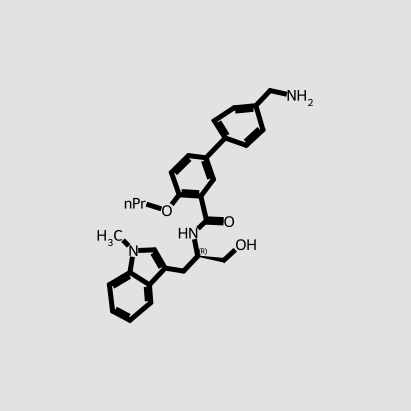 CCCOc1ccc(-c2ccc(CN)cc2)cc1C(=O)N[C@@H](CO)Cc1cn(C)c2ccccc12